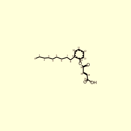 CCCCCCCCCc1ccccc1OC(=O)/C=C/C(=O)O